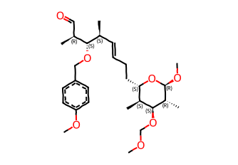 COCO[C@H]1[C@@H](C)[C@H](CCC=C[C@H](C)[C@H](OCc2ccc(OC)cc2)[C@@H](C)C=O)O[C@@H](OC)[C@@H]1C